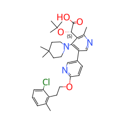 Cc1cccc(Cl)c1CCOc1ccc(-c2cnc(C)c([C@H](OC(C)(C)C)C(=O)O)c2N2CCC(C)(C)CC2)cn1